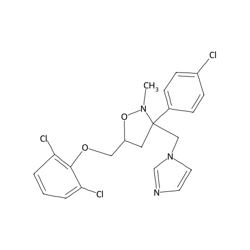 CN1OC(COc2c(Cl)cccc2Cl)CC1(Cn1ccnc1)c1ccc(Cl)cc1